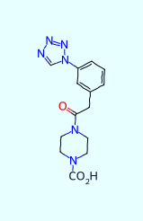 O=C(O)N1CCN(C(=O)Cc2cccc(-n3cnnn3)c2)CC1